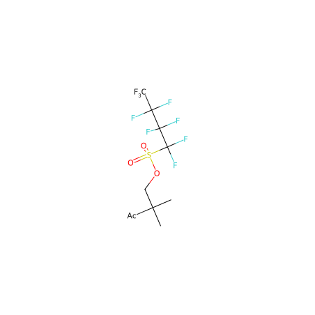 CC(=O)C(C)(C)COS(=O)(=O)C(F)(F)C(F)(F)C(F)(F)C(F)(F)F